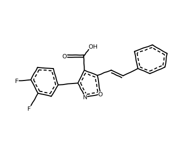 O=C(O)c1c(-c2ccc(F)c(F)c2)noc1C=Cc1ccccc1